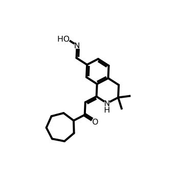 CC1(C)Cc2ccc(C=NO)cc2C(=CC(=O)C2CCCCCC2)N1